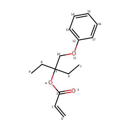 C=CC(=O)OC(CC)(CC)COc1ccccc1